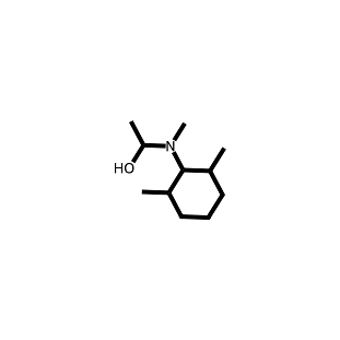 CC1CCCC(C)C1N(C)C(C)O